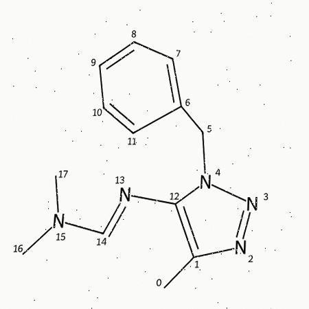 Cc1nnn(Cc2ccccc2)c1/N=C/N(C)C